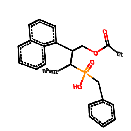 CCCCCC(C(COC(=O)CC)c1cccc2ccccc12)P(=O)(O)Cc1ccccc1